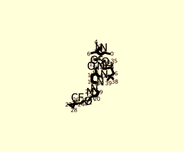 Cc1nn(C)c(C)c1S(=O)(=O)NC(=O)c1ccc(-n2ccc(OCCC3(C(F)(F)F)CC3)n2)nc1N1C[C@@H](C)CC1(C)C